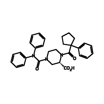 O=C(O)[C@@H]1CN(C(=O)N(c2ccccc2)c2ccccc2)CCN1C(=O)C1(c2ccccc2)CCCC1